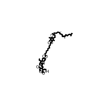 CCc1c2c(nc3ccc(OC(=O)CCCCCCCCC(=O)Oc4c(C)c(C)c5c(c4C)CCC(C)(CCC[C@H](C)CCC[C@H](C)CCCC(C)C)O5)cc13)-c1cc3c(c(=O)n1C2)COC(=O)[C@]3(O)CC